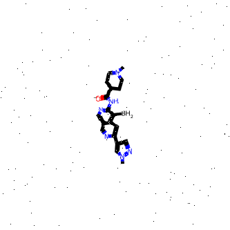 Bc1c(NC(=O)C2CCN(C)CC2)ncc2cnc(-c3cnn(C)c3)cc12